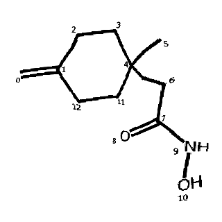 C=C1CCC(C)(CC(=O)NO)CC1